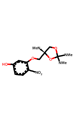 CNC1(NC)OC[C@](COc2cc(O)ccc2[N+](=O)[O-])(NC)O1